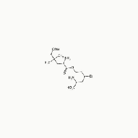 CCC(CCOC(=O)C(N)CC(C)(C)COC)CC(N)C(=O)O